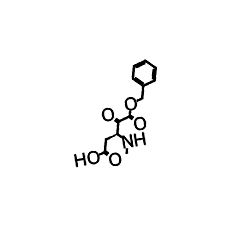 CN[C@@H](CC(=O)O)C(=O)C(=O)OCc1ccccc1